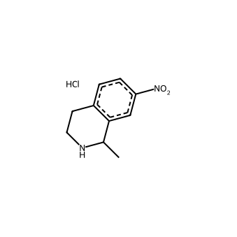 CC1NCCc2ccc([N+](=O)[O-])cc21.Cl